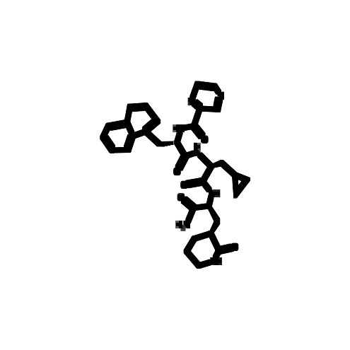 NC(=O)[C@H](C[C@@H]1CCCNC1=O)NC(=O)[C@H](CC1CC1)NC(=O)[C@H](Cc1cccc2ccccc12)NC(=O)c1cnccn1